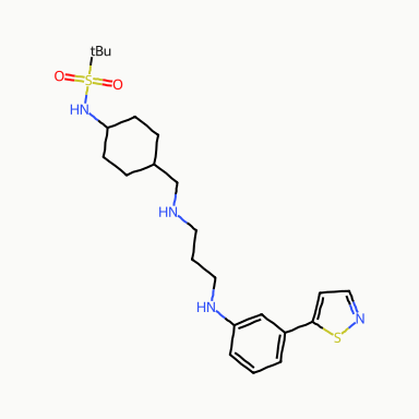 CC(C)(C)S(=O)(=O)NC1CCC(CNCCCNc2cccc(-c3ccns3)c2)CC1